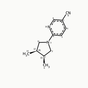 C[C@@H]1CN(c2ccc(C#N)cn2)C[C@@H]1C